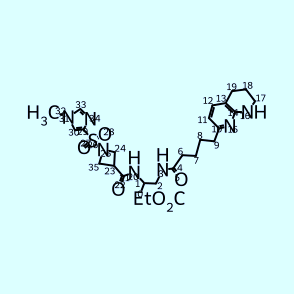 CCOC(=O)C(CNC(=O)CCCCc1ccc2c(n1)NCCC2)NC(=O)C1CN(S(=O)(=O)c2cn(C)cn2)C1